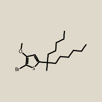 CCCCCCC(C)(CCCCC)c1cc(OC)c(Br)s1